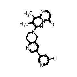 Cc1c(N2CCc3ncc(-c4cncc(Cl)c4)cc3C2)nn2c(=O)ccnc2c1C